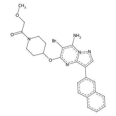 COCC(=O)N1CCC(Oc2nc3c(-c4ccc5ccccc5c4)cnn3c(N)c2Br)CC1